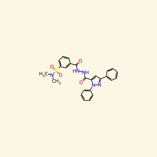 CN(C)S(=O)(=O)c1cccc(C(=O)NNC(=O)c2cc(-c3ccccc3)nn2-c2ccccc2)c1